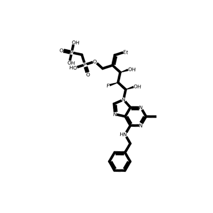 CC/C=C(/COP(=O)(O)CP(=O)(O)O)[C@@H](O)[C@H](F)[C@@H](O)n1cnc2c(NCc3ccccc3)nc(C)nc21